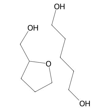 OCC1CCCO1.OCCCCCO